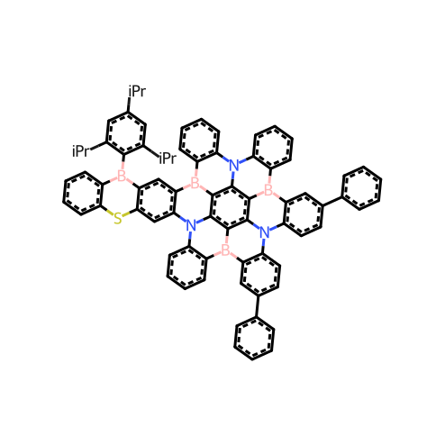 CC(C)c1cc(C(C)C)c(B2c3ccccc3Sc3cc4c(cc32)B2c3ccccc3N3c5ccccc5B5c6cc(-c7ccccc7)ccc6N6c7ccc(-c8ccccc8)cc7B7c8ccccc8N4c4c2c3c5c6c47)c(C(C)C)c1